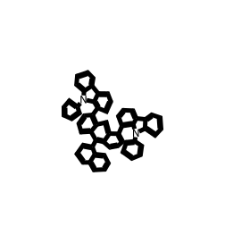 c1ccc(-n2c3ccccc3c3cccc(-c4cccc5c(-c6cccc7ccccc67)c6cccc(-c7cccc8c9ccccc9n(-c9ccccc9)c78)c6cc45)c32)cc1